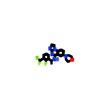 CC(Nc1nc2nccn2c2ccc(N3CCOCC3)cc12)c1cccc(C(F)F)c1F